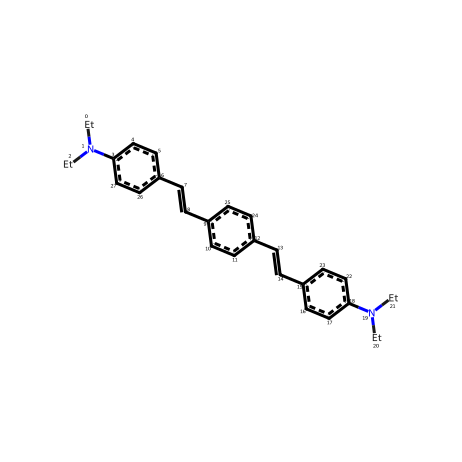 CCN(CC)c1ccc(C=Cc2ccc(C=Cc3ccc(N(CC)CC)cc3)cc2)cc1